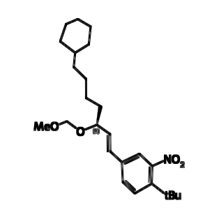 COCO[C@H](C=Cc1ccc(C(C)(C)C)c([N+](=O)[O-])c1)CCCCC1CCCCC1